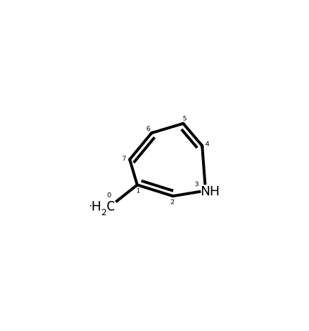 [CH2]C1=CNC=CC=C1